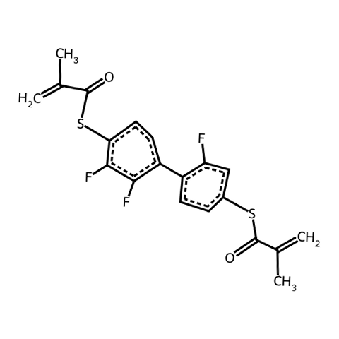 C=C(C)C(=O)Sc1ccc(-c2ccc(SC(=O)C(=C)C)c(F)c2F)c(F)c1